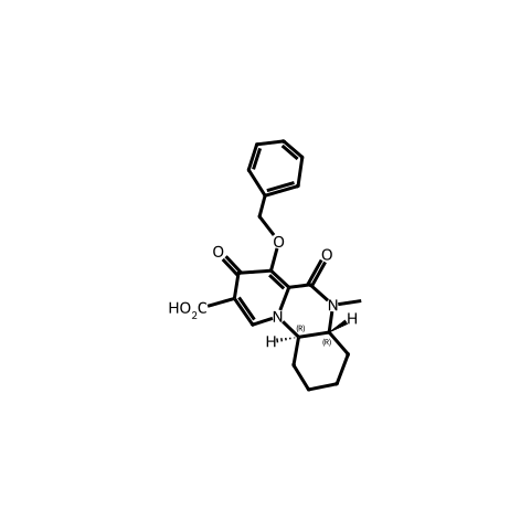 CN1C(=O)c2c(OCc3ccccc3)c(=O)c(C(=O)O)cn2[C@@H]2CCCC[C@H]21